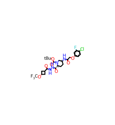 CC(C)(C)OC(=O)N1C[C@@H](NC(=O)COc2ccc(Cl)c(F)c2)CC[C@@H]1C(=O)NNC(=O)C1CC(OC(F)(F)F)C1